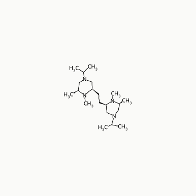 CC(C)N1C[C@@H](CC[C@@H]2CN(C(C)C)C[C@H](C)N2C)N(C)[C@@H](C)C1